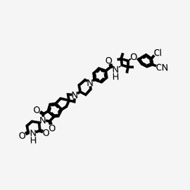 CC1(C)[C@H](NC(=O)c2ccc(N3CCC(N4CC5(Cc6cc7c(cc6C5)C(=O)N(C5CCC(=O)NC5=O)C7=O)C4)CC3)cc2)C(C)(C)[C@H]1Oc1ccc(C#N)c(Cl)c1